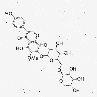 COc1c(O[C@@H]2O[C@H](CO[C@@H]3OC[C@@H](O)[C@H](O)[C@H]3O)[C@@H](O)[C@H](O)[C@H]2O)cc2occ(-c3ccc(O)cc3)c(=O)c2c1O